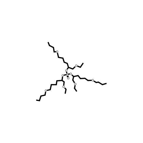 CCCCOCCCCC(COCC)OP(=O)(OC(CCCCOCCCC)COCC)OC(CCCCOCCCC)COCC